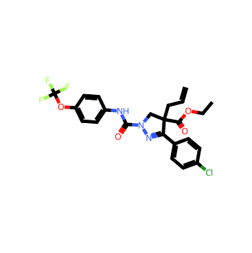 C=CCC1(C(=O)OCC)CN(C(=O)Nc2ccc(OC(F)(F)F)cc2)N=C1c1ccc(Cl)cc1